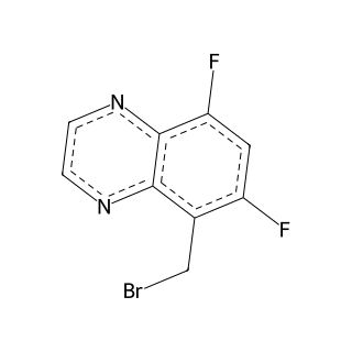 Fc1cc(F)c2nccnc2c1CBr